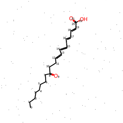 CCCCCCCCC(=O)CC/C=C/C=C/C=C/C=C/C(=O)O